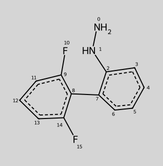 NNc1ccccc1-c1c(F)cccc1F